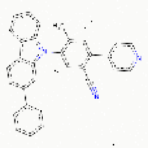 Cc1cc(-c2ccncc2)c(C#N)cc1-n1c2ccccc2c2ccc(-c3ccccc3)cc21